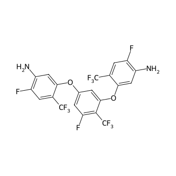 Nc1cc(Oc2cc(F)c(C(F)(F)F)c(Oc3cc(N)c(F)cc3C(F)(F)F)c2)c(C(F)(F)F)cc1F